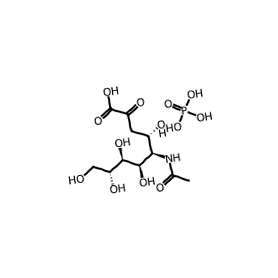 CC(=O)N[C@@H]([C@@H](O)[C@H](O)[C@H](O)CO)[C@@H](O)CC(=O)C(=O)O.O=P(O)(O)O